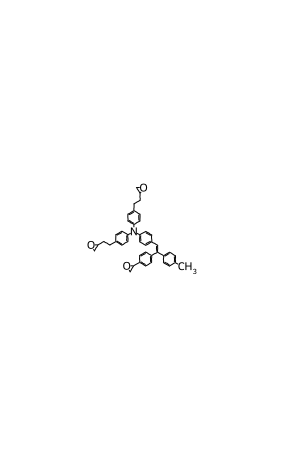 Cc1ccc(C(=Cc2ccc(N(c3ccc(CCC4CO4)cc3)c3ccc(CCC4CO4)cc3)cc2)c2ccc(C3CO3)cc2)cc1